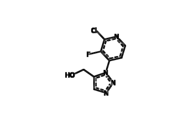 OCc1cnnn1-c1ccnc(Cl)c1F